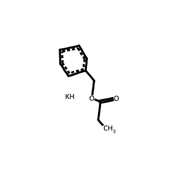 CCC(=O)OCc1ccccc1.[KH]